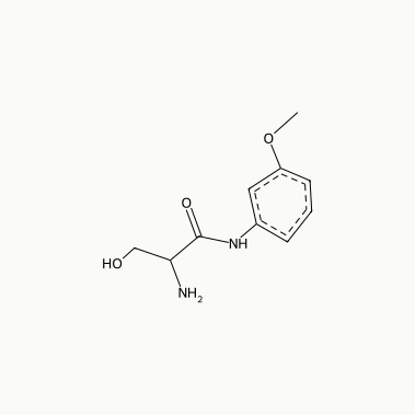 COc1cccc(NC(=O)C(N)CO)c1